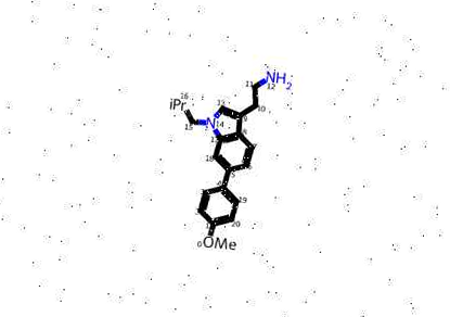 COc1ccc(-c2ccc3c(CCN)cn(CC(C)C)c3c2)cc1